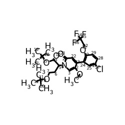 COc1cn(C(CCOC(C)(C)C)C(=O)OC(C)(C)C)c(=O)cc1-c1cc(Cl)ccc1OCC(F)(F)F